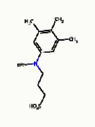 CCCN(CCCS(=O)(=O)O)c1cc(C)c(C)c(C)c1